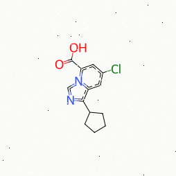 O=C(O)c1cc(Cl)cc2c(C3CCCC3)ncn12